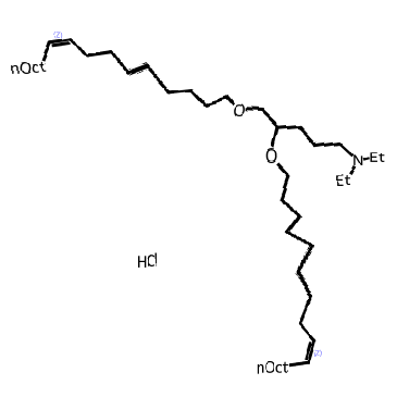 CCCCCCCC/C=C\CCCCCCCCOCC(CCCN(CC)CC)OCCCCCCCC/C=C\CCCCCCCC.Cl